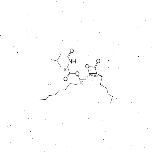 CCCCCCCC[C@@H](C[C@@H]1OC(=O)[C@H]1CCCCCC)OC(=O)[C@H](CC(C)C)NC=O